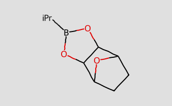 CC(C)B1OC2C3CCC(O3)C2O1